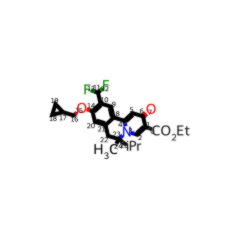 CCOC(=O)c1cn2c(cc1=O)-c1cc(C(F)F)c(OCC3CC3)cc1CC2(C)C(C)C